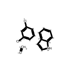 C=O.Clc1cccc(Cl)c1.c1ccc2[nH]ccc2c1